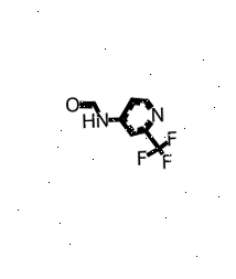 O=CNc1ccnc(C(F)(F)F)c1